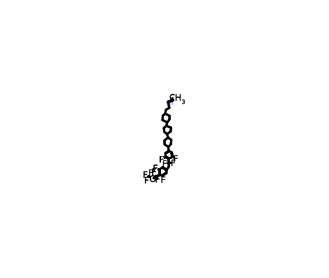 C/C=C/CCC1CCC(C2CCC(C3CCC(c4cc(F)c(C(F)(F)Cc5cc(F)c(C(F)(F)OC(F)(F)F)c(F)c5)c(F)c4)CC3)CC2)CC1